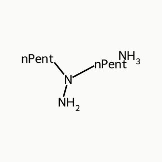 CCCCCN(N)CCCCC.N